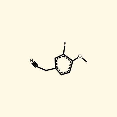 COc1ccc(CC#N)cc1F